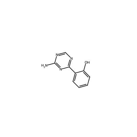 Nc1ncnc(-c2ccccc2O)n1